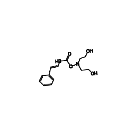 O=C(BC=Cc1ccccc1)ON(CCO)CCO